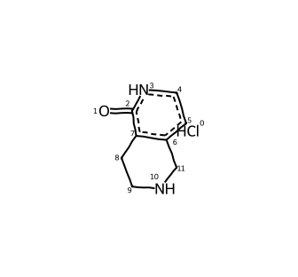 Cl.O=c1[nH]ccc2c1CCNC2